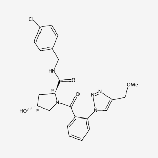 COCc1cn(-c2ccccc2C(=O)N2C[C@H](O)C[C@H]2C(=O)NCc2ccc(Cl)cc2)nn1